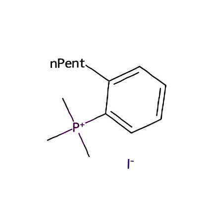 CCCCCc1ccccc1[P+](C)(C)C.[I-]